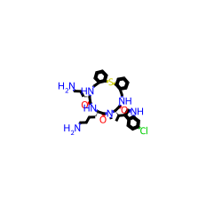 CC(c1c[nH]c2cc(Cl)ccc12)[C@H]1C(=O)NCc2ccccc2Sc2ccccc2CN[C@@H](CCCN)C(=O)N[C@@H](CCCCN)C(=O)N1C